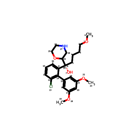 COCCCC[C@@](O)(c1cccc(Cl)c1-c1cc(OC)cc(OC)c1)C1CNCCO1